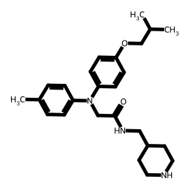 Cc1ccc(N(CC(=O)NCC2CCNCC2)c2ccc(OCC(C)C)cc2)cc1